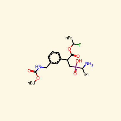 CCCCOC(=O)NCc1cccc(C(CP(=O)(O)C(N)C(C)C)C(=O)OC(F)CCC)c1